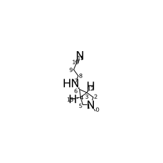 CN1C[C@@H]2[C@H](C1)[C@H]2NCCC#N